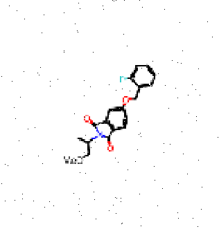 COCC(C)N1C(=O)c2ccc(OCc3ccccc3F)cc2C1=O